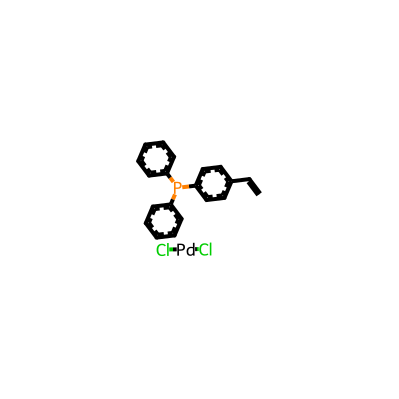 C=Cc1ccc(P(c2ccccc2)c2ccccc2)cc1.[Cl][Pd][Cl]